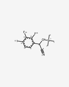 C[Si](C)(C)OC(C#N)c1ccc(I)c(F)c1F